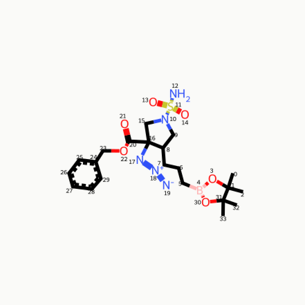 CC1(C)OB(CCCC2CN(S(N)(=O)=O)CC2(N=[N+]=[N-])C(=O)OCc2ccccc2)OC1(C)C